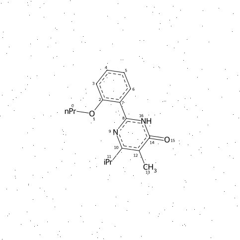 CCCOc1ccccc1-c1nc(C(C)C)c(C)c(=O)[nH]1